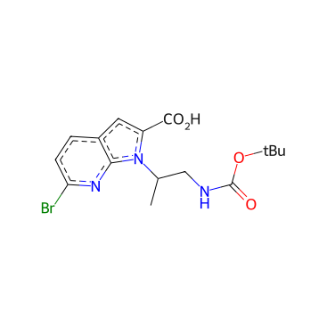 CC(CNC(=O)OC(C)(C)C)n1c(C(=O)O)cc2ccc(Br)nc21